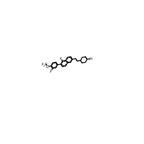 CCC1CCC(CCc2ccc3c(F)c(-c4ccc(OC(F)(F)F)c(F)c4)ccc3c2)CC1